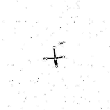 O=P([O-])([O-])O.[Ga+2]